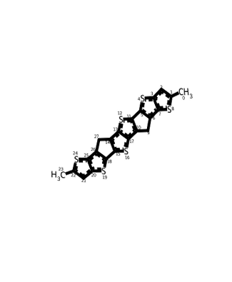 Cc1cc2sc3c(c2s1)Cc1c-3sc2c3c(sc12)-c1sc2cc(C)sc2c1C3